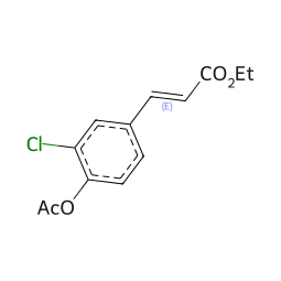 CCOC(=O)/C=C/c1ccc(OC(C)=O)c(Cl)c1